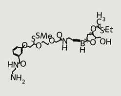 CCS[C@@H](C)O[C@@H]1C[C@H](BC#CCNC(=O)COCCOC(COc2cccc(C(=O)NCCN)c2)SSC)OC1CO